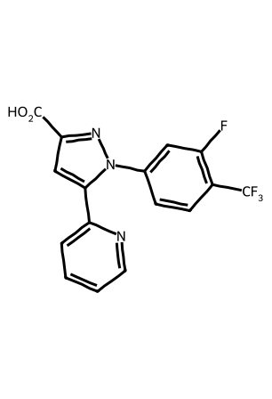 O=C(O)c1cc(-c2ccccn2)n(-c2ccc(C(F)(F)F)c(F)c2)n1